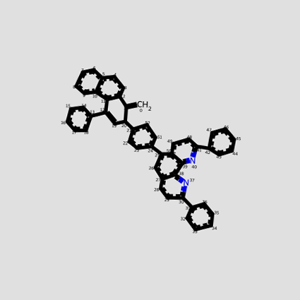 C=C1c2ccc3ccccc3c2C(c2ccccc2)=CC1c1ccc(-c2cc3ccc(-c4ccccc4)nc3c3nc(-c4ccccc4)ccc23)cc1